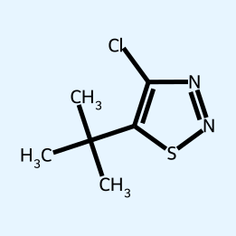 CC(C)(C)c1snnc1Cl